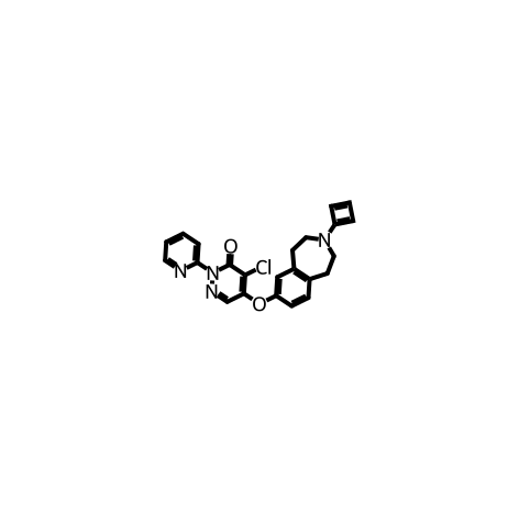 O=c1c(Cl)c(Oc2ccc3c(c2)CCN(C2=CC=C2)CC3)cnn1-c1ccccn1